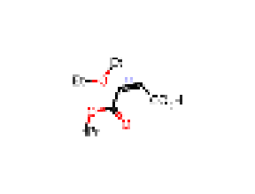 CCCOC(=O)/C=C\C(=O)O.CCOCC